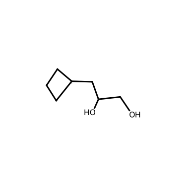 OCC(O)C[C]1CCC1